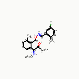 CNC(=O)/C(=N/OC)c1cccc(C)c1CO/N=C/c1cc(Cl)ccc1C(F)(F)F